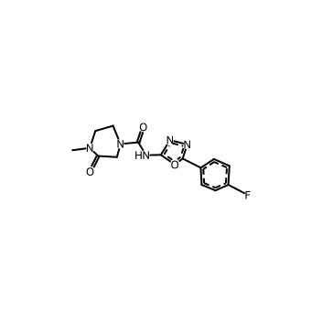 CN1CCN(C(=O)Nc2nnc(-c3ccc(F)cc3)o2)CC1=O